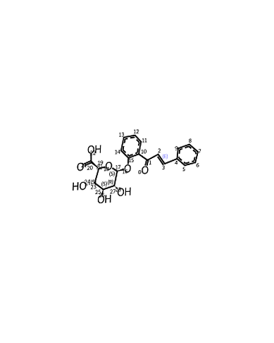 O=C(/C=C/c1ccccc1)c1ccccc1O[C@@H]1O[C@H](C(=O)O)[C@@H](O)[C@H](O)[C@H]1O